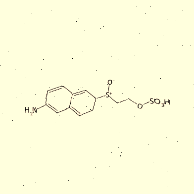 Nc1ccc2c(c1)=CCC([S+]([O-])CCOS(=O)(=O)O)C=2